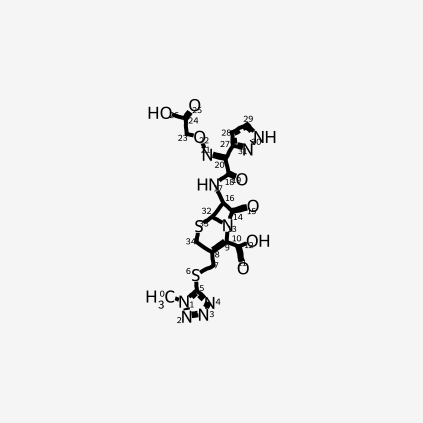 Cn1nnnc1SCC1=C(C(=O)O)N2C(=O)C(NC(=O)C(=NOCC(=O)O)c3cc[nH]n3)C2SC1